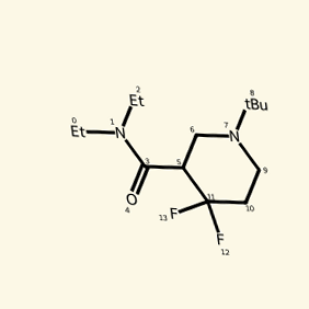 CCN(CC)C(=O)C1CN(C(C)(C)C)CCC1(F)F